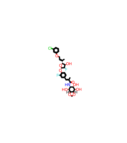 CC(=Cc1ccc(O[C@@H]2O[C@H](C(C)=CCOc3cccc(Cl)c3)[C@@H](O)[C@H]2F)c(F)c1)C(=O)N[C@@H]1[C@H](O)[C@@H](O)[C@H]2OCO[C@H]2[C@@H]1O